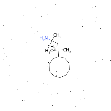 CC(C)(N)CC(C)(C)C1CCCCCCCCC1